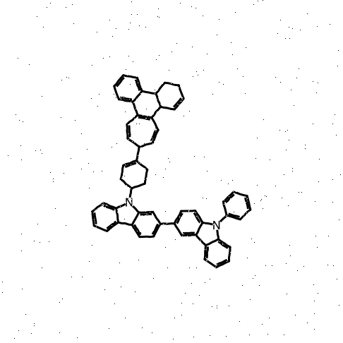 C1=CC2C3=C(C=CC(C4=CCC(n5c6ccccc6c6ccc(-c7ccc8c(c7)c7ccccc7n8-c7ccccc7)cc65)CC4)C=C3)c3ccccc3C2CC1